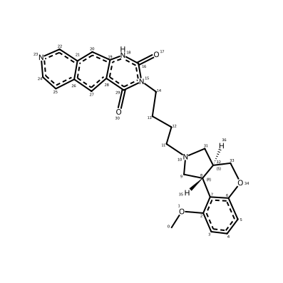 COc1cccc2c1[C@@H]1CN(CCCCn3c(=O)[nH]c4cc5cnccc5cc4c3=O)C[C@H]1CO2